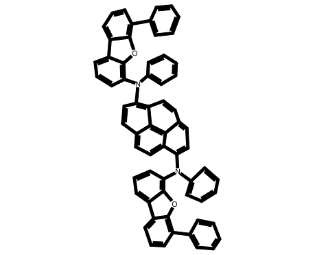 c1ccc(-c2cccc3c2oc2c(N(c4ccccc4)c4ccc5ccc6c(N(c7ccccc7)c7cccc8c7oc7c(-c9ccccc9)cccc78)ccc7ccc4c5c76)cccc23)cc1